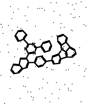 c1ccc(-c2nc(-c3ccccc3)nc(-c3cc4ccccc4cc3-c3ccc(-c4ccc5c6cccc7c8ccccc8n(c5c4)c76)cc3)n2)cc1